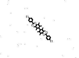 CCc1ccc(C(=O)Oc2c(C)c(C)c(-c3c(C)c(C)c(OC(=O)c4ccc(CC)cc4)c(C)c3C)c(C)c2C)cc1